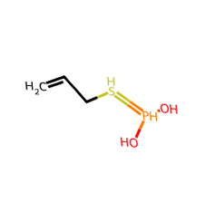 C=CC[SH]=[PH](O)O